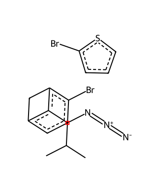 Brc1cccs1.CC(C)C(N=[N+]=[N-])c1c2ccc(Br)c1C2